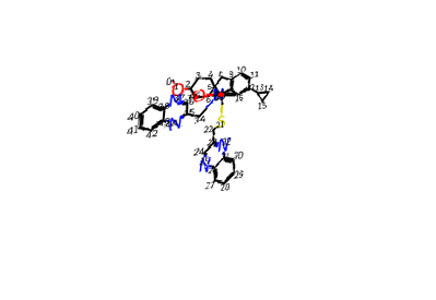 COC1CCC2(CC1)Cc1ccc(C3CC3)cc1C21N=C(SCc2cnc3ccccc3n2)N(Cc2cnc3ccccc3n2)C1=O